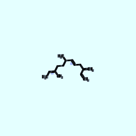 C=CC(=C)C/C=C/C(C)CC/C(C)=C/C